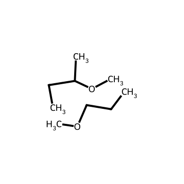 CCC(C)OC.CCCOC